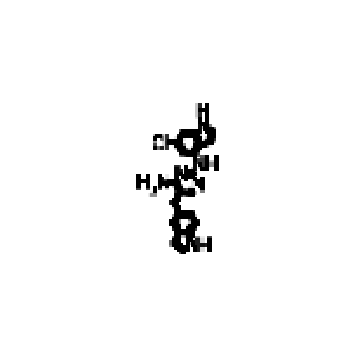 Nc1nc(Nc2cc(Cl)cc3[nH]ccc23)ncc1Cc1ccc2[nH]ccc2c1